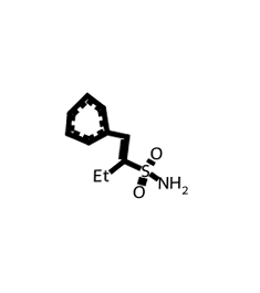 CC/C(=C\c1ccccc1)S(N)(=O)=O